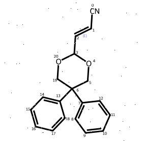 N#C/C=C/C1OCC(c2ccccc2)(c2ccccc2)CO1